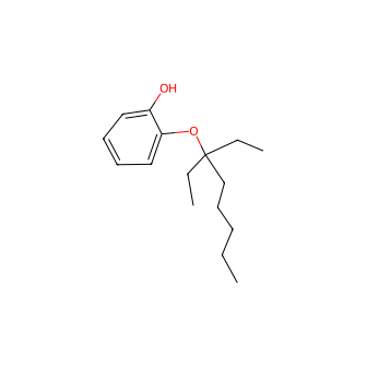 CCCCCC(CC)(CC)Oc1ccccc1O